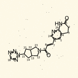 O=C1CCc2cc(/C=C/C(=O)N3CC4CC(n5ncnn5)CC4C3)cnc2N1